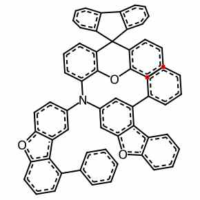 c1ccc(-c2cc(N(c3ccc4oc5cccc(-c6ccccc6)c5c4c3)c3cccc4c3Oc3ccccc3C43c4ccccc4-c4ccccc43)cc3oc4ccccc4c23)cc1